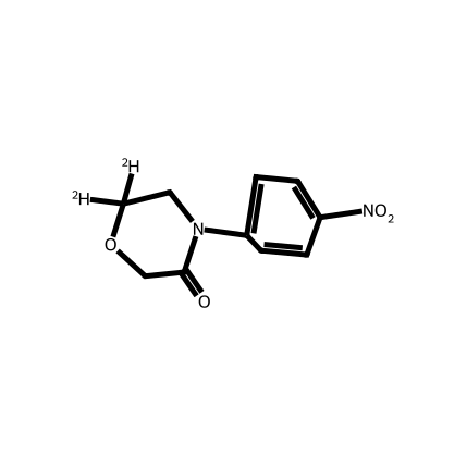 [2H]C1([2H])CN(c2ccc([N+](=O)[O-])cc2)C(=O)CO1